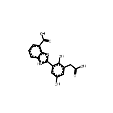 O=C(O)Cc1cc(O)cc(-c2nc3c(C(=O)O)cccc3[nH]2)c1O